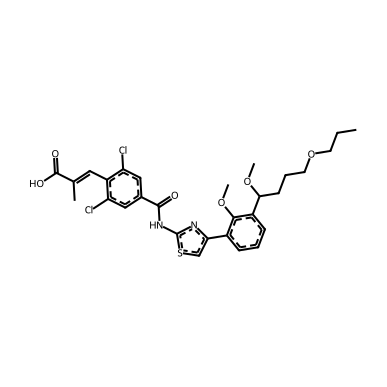 CCCOCCCC(OC)c1cccc(-c2csc(NC(=O)c3cc(Cl)c(C=C(C)C(=O)O)c(Cl)c3)n2)c1OC